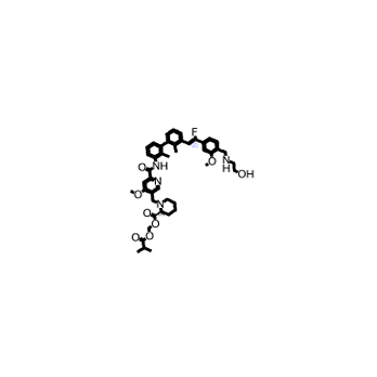 COc1cc(/C(F)=C/c2cccc(-c3cccc(NC(=O)c4cc(OC)c(CN5CCCC[C@H]5C(=O)OCOC(=O)C(C)C)cn4)c3C)c2C)ccc1CNCCO